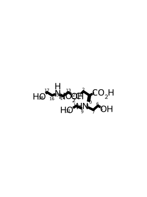 C=C(CC(=O)O)C(=O)O.OCCNCCO.OCCNCCO